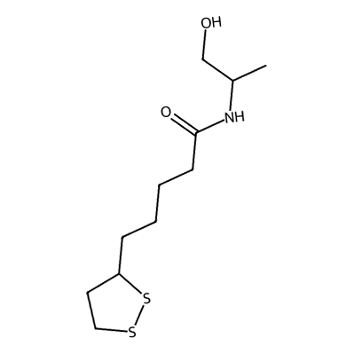 CC(CO)NC(=O)CCCCC1CCSS1